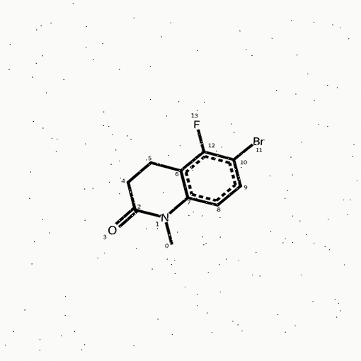 CN1C(=O)CCc2c1ccc(Br)c2F